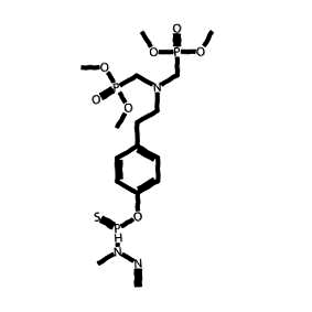 C=NN(C)[PH](=S)Oc1ccc(CCN(CP(=O)(OC)OC)CP(=O)(OC)OC)cc1